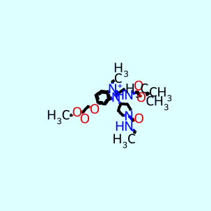 CCNC(=O)N1CCC(n2c(CNC(=O)OC(C)(C)C)[n+](CC)c3ccc(OCC(=O)OCC)cc32)CC1